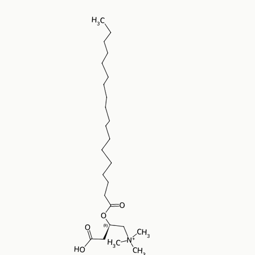 CCCCCCCCCCCCCCCCCC(=O)O[C@H](CC(=O)O)C[N+](C)(C)C